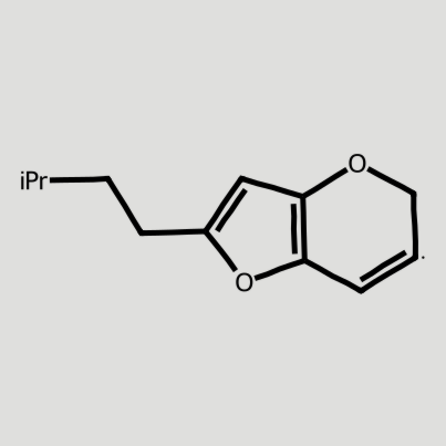 CC(C)CCc1cc2c(o1)C=[C]CO2